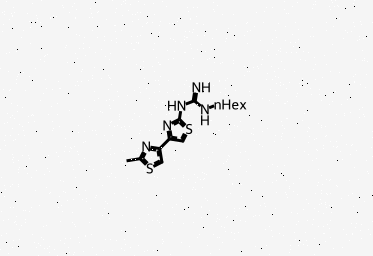 CCCCCCNC(=N)Nc1nc(-c2csc(C)n2)cs1